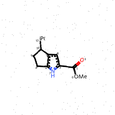 COC(=O)c1cc2c([nH]1)CCC2C(C)C